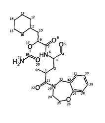 CC(CC(C=O)NC(=O)C(CC1CCCCC1)OC(N)=O)C(=O)N1CCOc2ccccc2C1